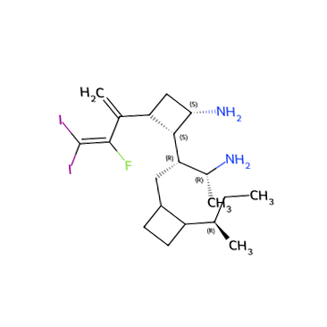 C=C(C(F)=C(I)I)C1C[C@H](N)[C@@H]1[C@@H](CC1CCC1[C@H](C)CC)[C@@H](C)N